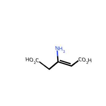 NC(=CC(=O)O)CC(=O)O